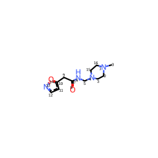 CN1CCN(CNC(=O)Cc2ccno2)CC1